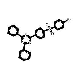 O=S(=O)(c1ccc(Br)cc1)c1ccc(-c2nc(-c3ccccc3)nc(-c3ccccc3)n2)cc1